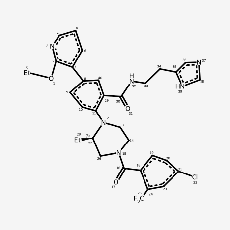 CCOc1ncccc1-c1ccc(N2CCN(C(=O)c3ccc(Cl)cc3C(F)(F)F)C[C@H]2CC)c(C(=O)NCCc2cnc[nH]2)c1